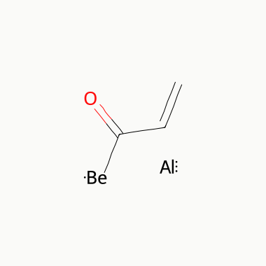 [Al].[Be][C](=O)C=C